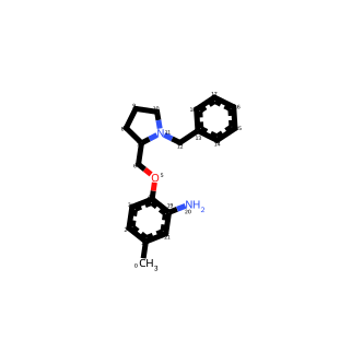 Cc1ccc(OCC2CCCN2Cc2ccccc2)c(N)c1